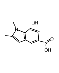 Cc1cc2cc(S(=O)O)ccc2n1C.[LiH]